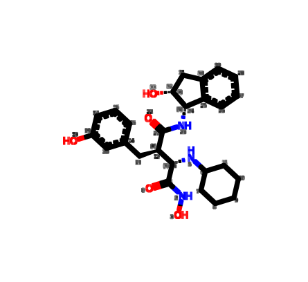 O=C(NO)[C@@H](NC1CCCCC1)[C@@H](Cc1cccc(O)c1)C(=O)N[C@H]1c2ccccc2C[C@H]1O